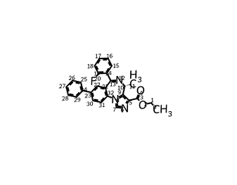 CCOC(=O)c1ncn2c1[C@@H](C)N=C(c1ccccc1F)c1cc(-c3ccccc3)ccc1-2